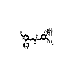 C=Cc1cc(CNC(=O)/C=C/c2ccc(CF)nc2N2CCOCC2)ccc1NS(C)(=O)=O